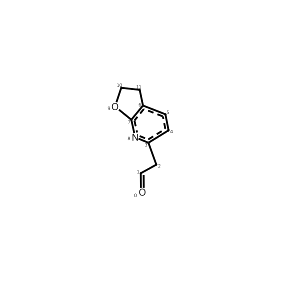 O=CCc1ccc2c(n1)OCC2